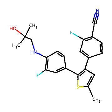 Cc1cc(-c2ccc(C#N)c(F)c2)c(-c2ccc(NCC(C)(C)O)c(F)c2)s1